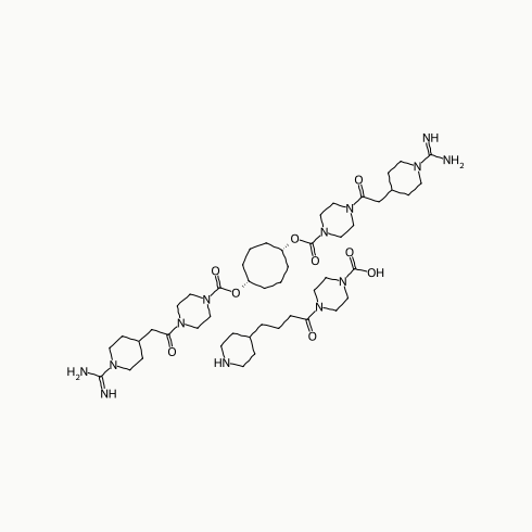 N=C(N)N1CCC(CC(=O)N2CCN(C(=O)O[C@H]3CCC[C@@H](OC(=O)N4CCN(C(=O)CC5CCN(C(=N)N)CC5)CC4)CCC3)CC2)CC1.O=C(O)N1CCN(C(=O)CCCC2CCNCC2)CC1